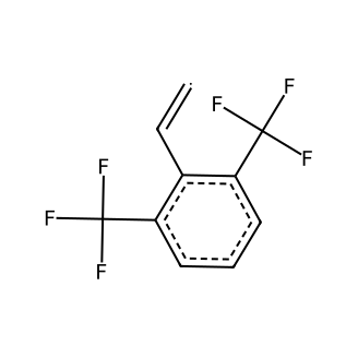 [CH]=Cc1c(C(F)(F)F)cccc1C(F)(F)F